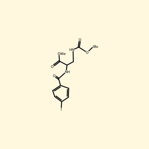 COC(=O)C(CNC(=O)OC(C)(C)C)NC(=O)c1ccc(I)cc1